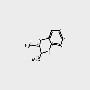 COC1Oc2ccccc2CC1N